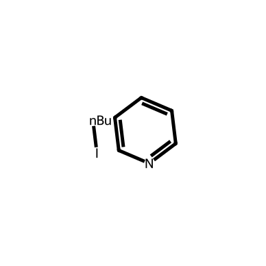 CCCCI.c1ccncc1